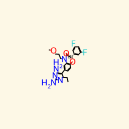 CCc1nc(N)nc(N)c1-c1ccc2c(c1)N(CCCOC)C(=O)[C@H](c1cc(F)cc(F)c1)O2